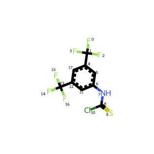 FC(F)(F)c1cc(NC(=S)Cl)cc(C(F)(F)F)c1